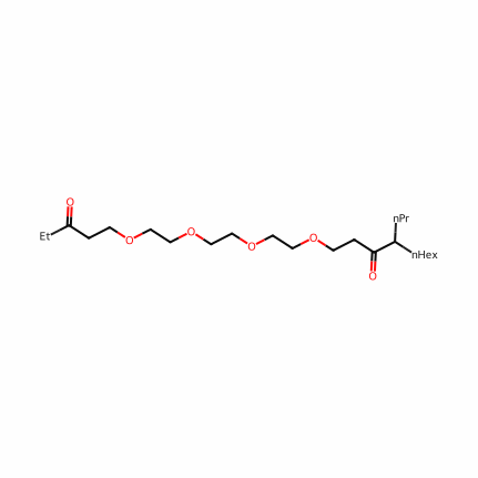 CCCCCCC(CCC)C(=O)CCOCCOCCOCCOCCC(=O)CC